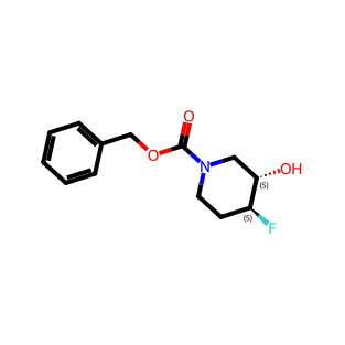 O=C(OCc1ccccc1)N1CC[C@H](F)[C@@H](O)C1